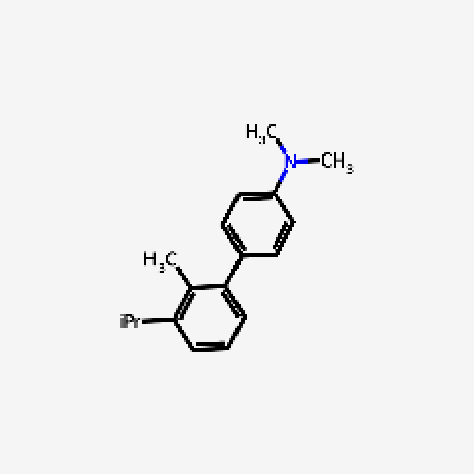 Cc1c(-c2ccc(N(C)C)cc2)cccc1C(C)C